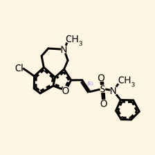 CN1CCc2c(Cl)ccc3oc(/C=C/S(=O)(=O)N(C)c4ccccc4)c(c23)C1